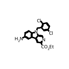 CCOC(=O)c1cc2c3cc(N)ccc3n(Cc3cc(Cl)ccc3Cl)c2cn1